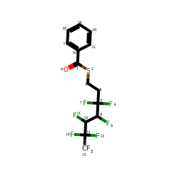 O=C(SCCC(F)(F)C(F)C(F)C(F)(F)C(F)(F)F)c1ccccc1